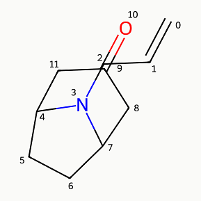 C=CCN1C2CCC1CC(=O)C2